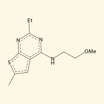 CCc1nc(NCCOC)c2cc(C)sc2n1